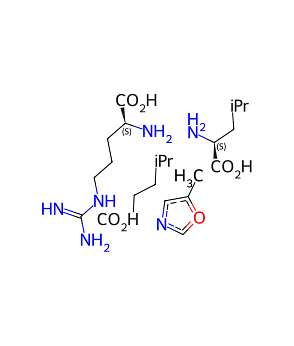 CC(C)CCC(=O)O.CC(C)C[C@H](N)C(=O)O.Cc1cnco1.N=C(N)NCCC[C@H](N)C(=O)O